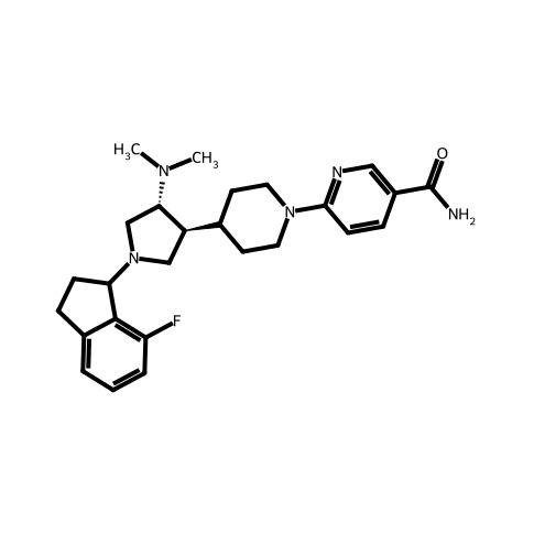 CN(C)[C@H]1CN(C2CCc3cccc(F)c32)C[C@@H]1C1CCN(c2ccc(C(N)=O)cn2)CC1